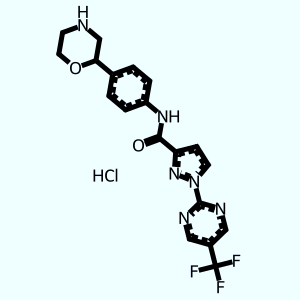 Cl.O=C(Nc1ccc(C2CNCCO2)cc1)c1ccn(-c2ncc(C(F)(F)F)cn2)n1